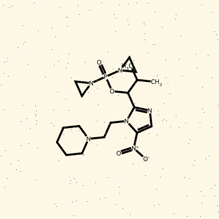 CC(C)C(OP(=O)(N1CC1)N1CC1)c1ncc([N+](=O)[O-])n1CCN1CCCCC1